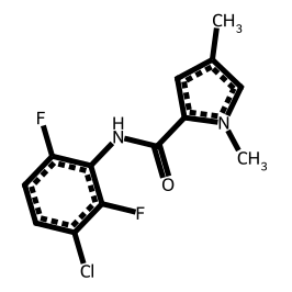 Cc1cc(C(=O)Nc2c(F)ccc(Cl)c2F)n(C)c1